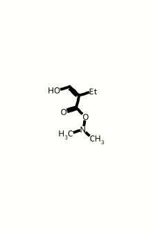 CCC(=CO)C(=O)ON(C)C